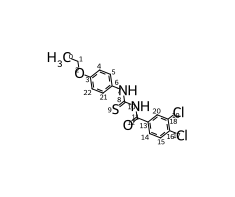 CCOc1ccc(NC(=S)NC(=O)c2ccc(Cl)c(Cl)c2)cc1